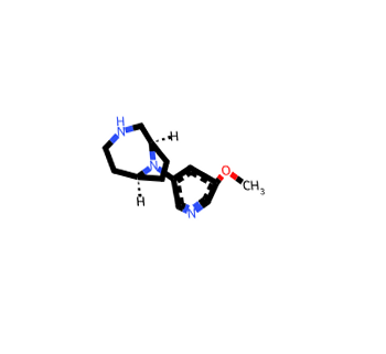 COc1cncc(N2[C@@H]3CCNC[C@H]2CC3)c1